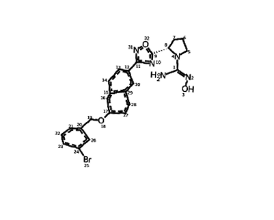 N/C(=N\O)N1CCC[C@H]1c1nc(-c2ccc3cc(OCc4cccc(Br)c4)ccc3c2)no1